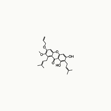 C=CCOc1cc2oc3cc(O)c(CC=C(C)C)c(O)c3c(=O)c2c(CC=C(C)C)c1OC